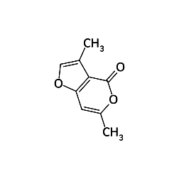 Cc1cc2occ(C)c2c(=O)o1